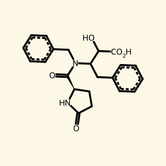 O=C1CC[C@H](C(=O)N(Cc2ccccc2)C(Cc2ccccc2)C(O)C(=O)O)N1